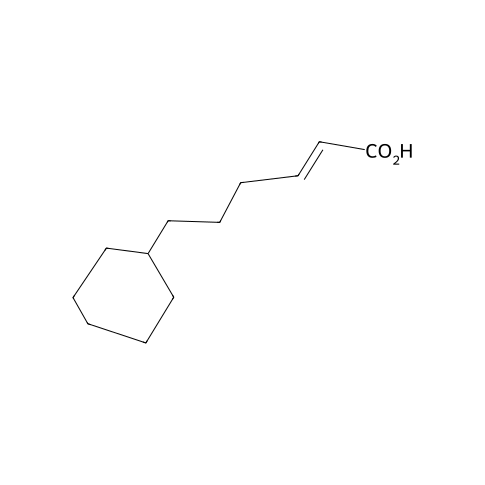 O=C(O)C=CCCCC1CCCCC1